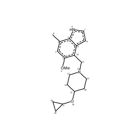 COc1cc(C)c2[nH]ccc2c1CN1CCC(OC2CC2)CC1